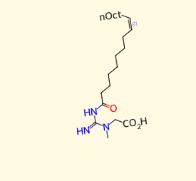 CCCCCCCC/C=C\CCCCCCCC(=O)NC(=N)N(C)CC(=O)O